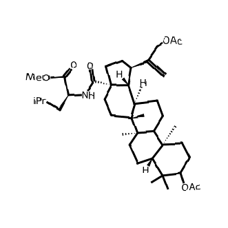 C=C(COC(C)=O)[C@@H]1CC[C@]2(C(=O)N[C@@H](CC(C)C)C(=O)OC)CC[C@]3(C)[C@H](CCC4[C@@]5(C)CCC(OC(C)=O)C(C)(C)[C@@H]5CC[C@]43C)[C@@H]12